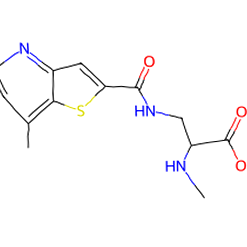 CNC(CNC(=O)c1cc2nccc(C)c2s1)C(=O)O